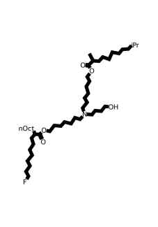 CCCCCCCCC(CCCCCCCCF)C(=O)OCCCCCCCN(CCCCO)CCCCCCCOC(=O)C(C)CCCCCCCC(C)C